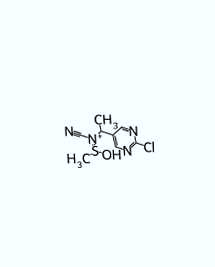 CC(c1cnc(Cl)nc1)[N+](C#N)=S(C)O